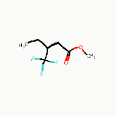 CCC(CC(=O)OC)C(F)(F)F